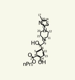 CCCOC(=O)c1cc(C(O)CN2CCN(c3nc(C)cs3)CC2)ccc1O